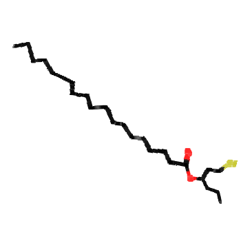 CCCCCCCCCCCCCCCCCC(=O)OC(CCC)CCS